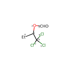 CCC(O[C]=O)C(Cl)(Cl)Cl